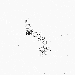 O=C(N[C@H]1CC[C@H](NS(=O)(=O)c2ccc(F)cc2)CC1)O[C@@H]1CCC(c2cn[nH]c(=O)c2Cl)C1